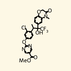 COC(=O)c1cnc(Oc2ccc(C(C)C(O)(c3ccc4c(c3)N(C)C(=O)CO4)C(F)(F)F)c(Cl)c2)nc1